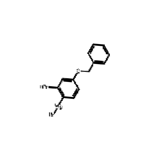 CCCc1cc(OCc2ccccc2)cc[c]1[Mg][Br]